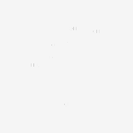 CCC(C(=O)O)c1ccc(Cl)cc1OC